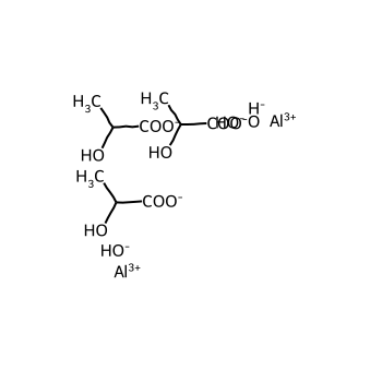 CC(O)C(=O)[O-].CC(O)C(=O)[O-].CC(O)C(=O)[O-].[Al+3].[Al+3].[OH-].[OH-].[OH-]